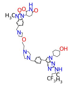 C[C@H](CC(F)(F)F)Nc1ncc2c(-c3ccc(CN4CCN(CCCOC5CN(Cc6ccc7c(c6)n(C)c(=O)n7C6CCC(=O)NC6=O)C5)CC4)cc3)cn([C@H]3CC[C@H](O)CC3)c2n1